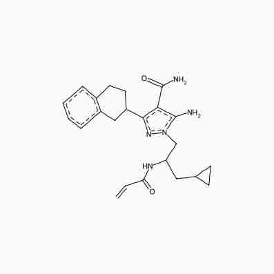 C=CC(=O)NC(CC1CC1)Cn1nc(C2CCc3ccccc3C2)c(C(N)=O)c1N